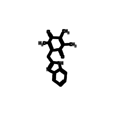 CC1=C(C)C(=O)C(Cc2nc3ccccc3[nH]2)=C(C)C1=O